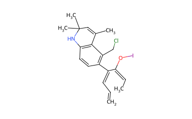 C=C/C=C(\C(=C/C)OI)c1ccc2c(c1CCl)C(C)=CC(C)(C)N2